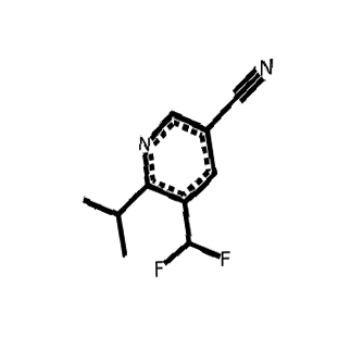 CC(C)c1ncc(C#N)cc1C(F)F